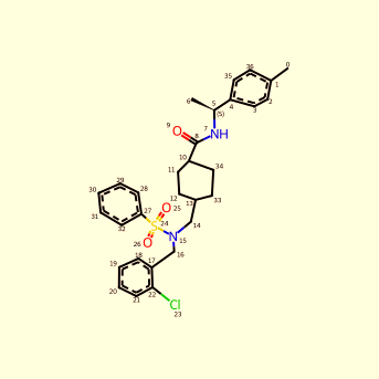 Cc1ccc([C@H](C)NC(=O)C2CCC(CN(Cc3ccccc3Cl)S(=O)(=O)c3ccccc3)CC2)cc1